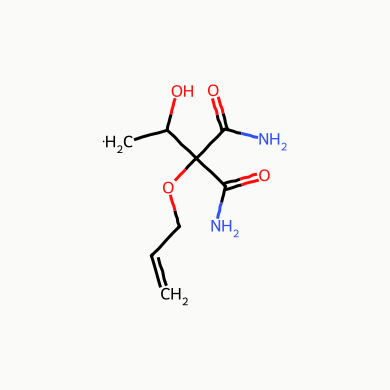 [CH2]C(O)C(OCC=C)(C(N)=O)C(N)=O